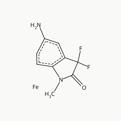 CN1C(=O)C(F)(F)c2cc(N)ccc21.[Fe]